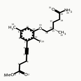 COC(=O)CCC#Cc1cc(C)cc(OC[C@@H](C)CCC(N)=O)c1F